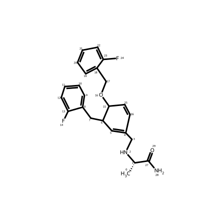 C[C@H](NCC1=CC(Cc2ccccc2F)C(OCc2ccccc2F)C=C1)C(N)=O